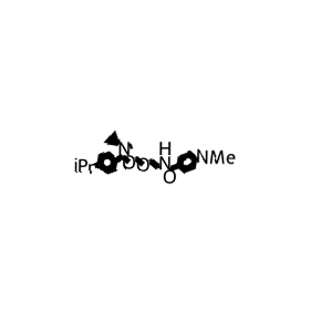 CNc1ccc(C(=O)NCCOCOC(c2ccc(C(C)C)cc2)N(C)C2CC2)cc1